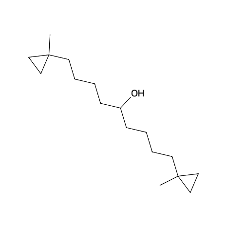 CC1(CCCCC(O)CCCCC2(C)CC2)CC1